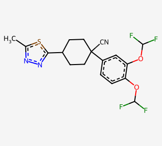 Cc1nnc(C2CCC(C#N)(c3ccc(OC(F)F)c(OC(F)F)c3)CC2)s1